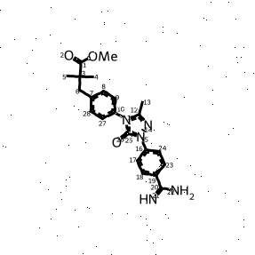 COC(=O)C(C)(C)Cc1ccc(-n2c(C)nn(-c3ccc(C(=N)N)cc3)c2=O)cc1